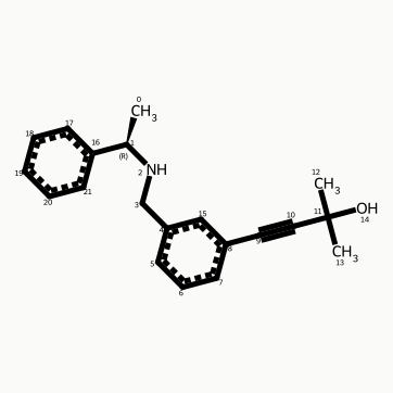 C[C@@H](NCc1cccc(C#CC(C)(C)O)c1)c1ccccc1